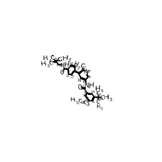 COc1cc(C(=O)Nc2cnc(C)c(-c3ccc(C(=O)NCC(C)(C)C)cc3)c2)cc(C(C)(C)C)c1